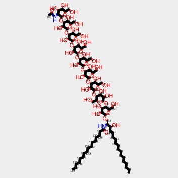 CCCCCCCCCCCCC/C=C/[C@@H](O)[C@H](CO[C@@H]1OC(CO)[C@@H](O[C@@H]2OC(CO)[C@H](O[C@@H]3OC(CO)[C@H](O)[C@H](O[C@H]4OC(CO)[C@H](O)[C@H](O[C@H]5OC(CO)[C@H](O)[C@H](O[C@H]6OC(CO)[C@H](O)[C@H](O[C@H]7OC(CO)[C@H](O)[C@H](O[C@H]8OC(CO)[C@H](O)[C@H](O[C@@H]9OC(CO)[C@H](O)[C@H](O)C9NC(C)=O)C8O)C7O)C6O)C5O)C4O)C3O)[C@H](O)C2O)[C@H](O)C1O)NC(=O)CCCCCCCCCCCCCCC